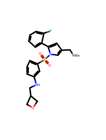 CNCc1cc(-c2ccccc2F)n(S(=O)(=O)c2cccc(NCC3COC3)c2)c1